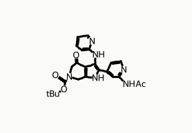 CC(=O)Nc1cc(-c2[nH]c3c(c2Nc2ccccn2)C(=O)CN(C(=O)OC(C)(C)C)C3)ccn1